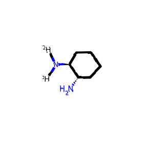 [2H]N([2H])[C@H]1CCCC[C@@H]1N